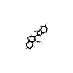 Cc1ccc2nc(-c3cnc4ccccc4c3N)[nH]c2c1